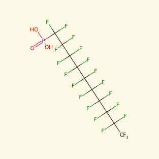 O=P(O)(O)C(F)(F)C(F)(F)C(F)(F)C(F)(F)C(F)(F)C(F)(F)C(F)(F)C(F)(F)C(F)(F)C(F)(F)F